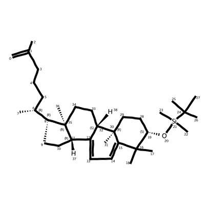 C=C(C)CCC[C@@H](C)[C@H]1CC[C@H]2C3=CC=C4C(C)(C)[C@@H](O[Si](C)(C)C(C)(C)C)CC[C@]4(C)[C@H]3CC[C@]12C